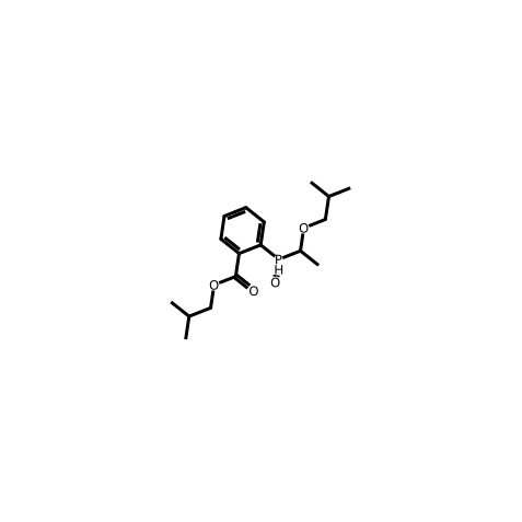 CC(C)COC(=O)c1ccccc1[PH](=O)C(C)OCC(C)C